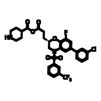 O=C(CC[C@H]1CN(S(=O)(=O)c2cccc(C(F)(F)F)c2)c2cc(-c3cccc(Cl)c3)cc(F)c2O1)OC(=O)C1CCNCC1